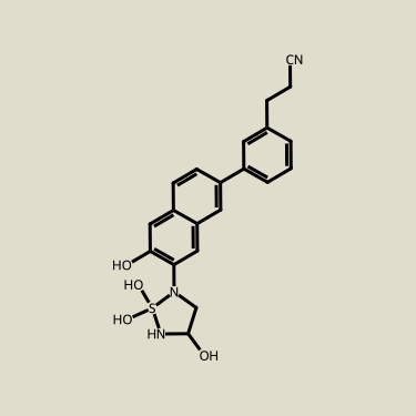 N#CCCc1cccc(-c2ccc3cc(O)c(N4CC(O)NS4(O)O)cc3c2)c1